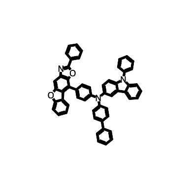 c1ccc(-c2ccc(N(c3ccc(-c4c5oc(-c6ccccc6)nc5cc5oc6ccccc6c45)cc3)c3ccc4c(c3)c3ccccc3n4-c3ccccc3)cc2)cc1